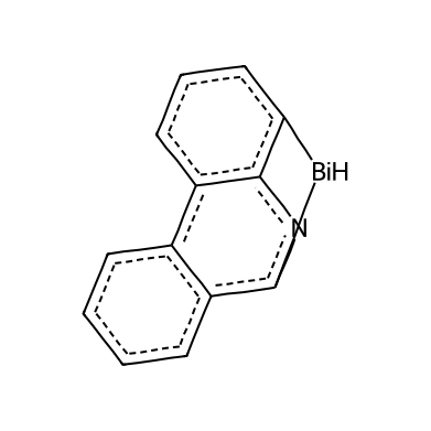 c1ccc2c(c1)[c]1nc3[c](cccc32)[BiH]1